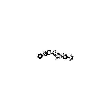 C[C@@H]1CN(c2ccc(-c3nccs3)cn2)C[C@H](C)N1CC(=O)N1CCc2nn(-c3ccccc3)cc2C1